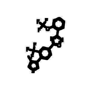 Cc1cscc1-c1ccc(-c2nc(-c3ccccc3OC(F)(F)F)no2)cc1C(F)(F)F